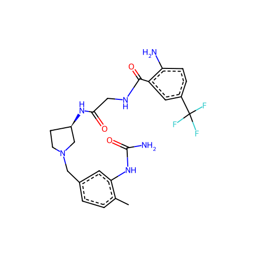 Cc1ccc(CN2CC[C@@H](NC(=O)CNC(=O)c3cc(C(F)(F)F)ccc3N)C2)cc1NC(N)=O